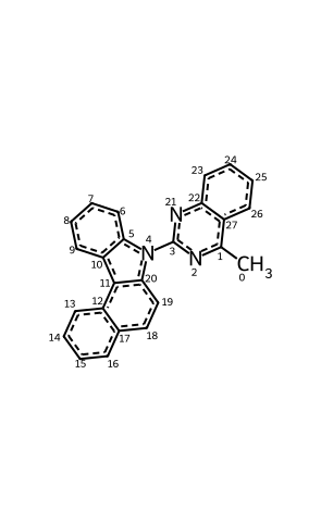 Cc1nc(-n2c3ccccc3c3c4ccccc4ccc32)nc2ccccc12